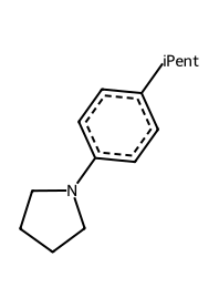 CCCC(C)c1ccc(N2CCCC2)cc1